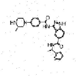 CC(NC(=O)c1ccc2[nH]nc(NC(=O)c3ccc(N4CCN[C@H](C)C4)cc3)c2c1)c1cccs1